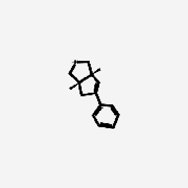 C[C@@]12CNC[C@]1(C)C=C(c1ccccc1)C2